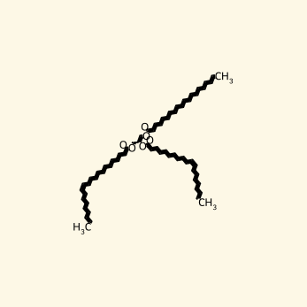 CCCCCCCC/C=C\CCCCCCCCCCCC(=O)OC[C@@H](COC(=O)CCCCCCCCCCCCCCCCCCC)OC(=O)CCCCCCCCC/C=C\CCCCCCCC